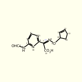 O=CNc1ccnc(/C(=N/OC2C=CCC2)C(=O)O)n1